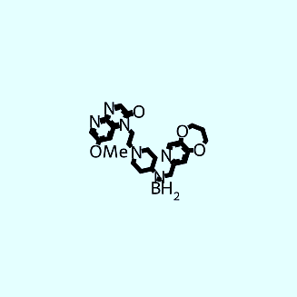 BN(Cc1cc2c(cn1)OCCCO2)C1CCN(CCn2c(=O)cnc3ncc(OC)cc32)CC1